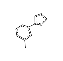 Cc1cccc(-n2cncn2)c1